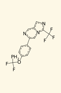 FC(F)(P)Oc1ccc(-c2cn3c(C(F)(F)F)ncc3cn2)cc1